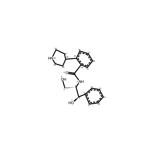 O=C(N[C@@H](CO)[C@H](O)c1ccccc1)c1ccccc1C1CCNCC1